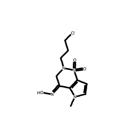 Cn1ccc2c1/C(=N/O)CN(CCCCl)S2(=O)=O